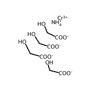 O=C([O-])CO.O=C([O-])CO.O=C([O-])CO.O=C([O-])CO.[Cr+3].[NH4+]